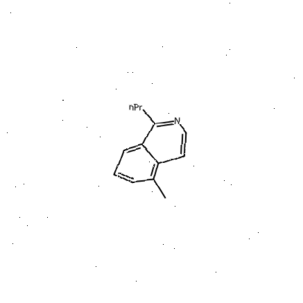 CCCc1nccc2c(C)cccc12